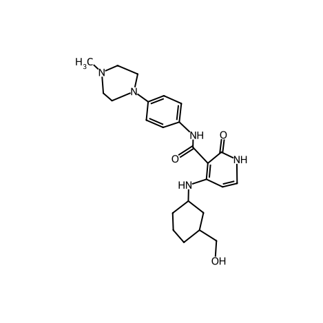 CN1CCN(c2ccc(NC(=O)c3c(NC4CCCC(CO)C4)cc[nH]c3=O)cc2)CC1